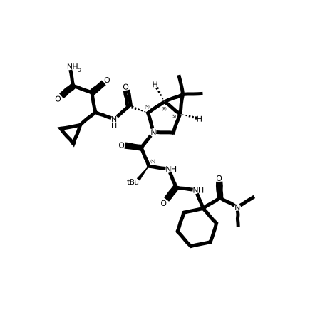 CN(C)C(=O)C1(NC(=O)N[C@H](C(=O)N2C[C@H]3[C@@H]([C@H]2C(=O)NC(C(=O)C(N)=O)C2CC2)C3(C)C)C(C)(C)C)CCCCC1